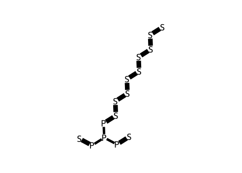 S=PP(P=S)P=S=S=S=S=S=S=S=S=S